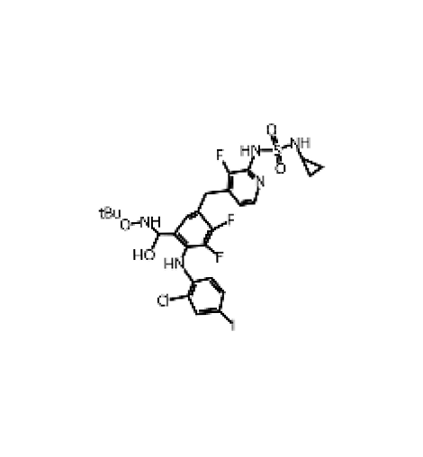 CC(C)(C)ONC(O)c1cc(Cc2ccnc(NS(=O)(=O)NC3CC3)c2F)c(F)c(F)c1Nc1ccc(I)cc1Cl